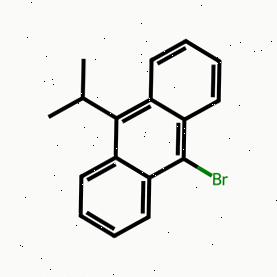 CC(C)c1c2ccccc2c(Br)c2ccccc12